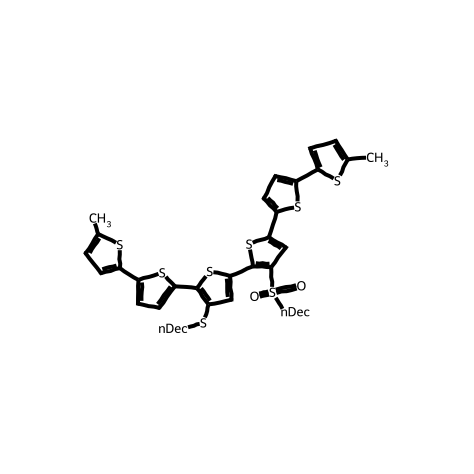 CCCCCCCCCCSc1cc(-c2sc(-c3ccc(-c4ccc(C)s4)s3)cc2S(=O)(=O)CCCCCCCCCC)sc1-c1ccc(-c2ccc(C)s2)s1